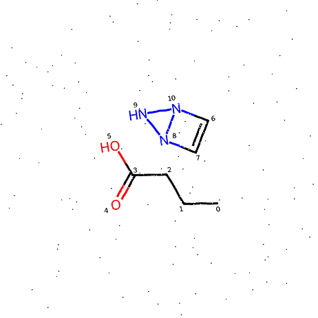 CCCC(=O)O.c1cn2[nH]n12